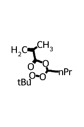 C=C(C)C(=O)OC(CCC)OOC(C)(C)C